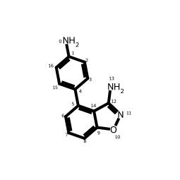 Nc1ccc(-c2cccc3onc(N)c23)cc1